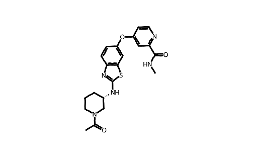 CNC(=O)c1cc(Oc2ccc3nc(N[C@H]4CCCN(C(C)=O)C4)sc3c2)ccn1